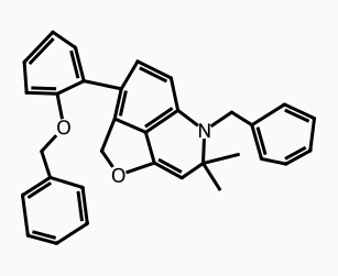 CC1(C)C=C2OCc3c(-c4ccccc4OCc4ccccc4)ccc(c32)N1Cc1ccccc1